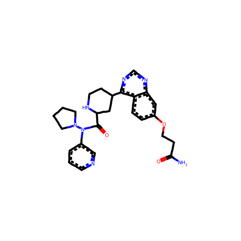 NC(=O)CCOc1ccc2c(C3CCNC(C(=O)N(c4cccnc4)N4CCCC4)C3)ncnc2c1